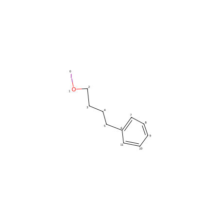 IOCCCCc1ccccc1